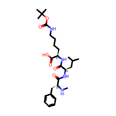 CN[C@H](Cc1ccccc1)C(=O)N[C@H](CC(C)C)C(=O)N[C@H](CCCCNC(=O)OC(C)(C)C)C(=O)O